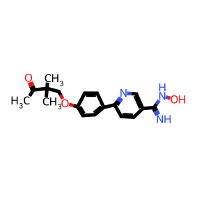 CC(=O)C(C)(C)COc1ccc(-c2ccc(C(=N)NO)cn2)cc1